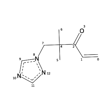 C=CC(=O)C(C)(C)Cn1cncn1